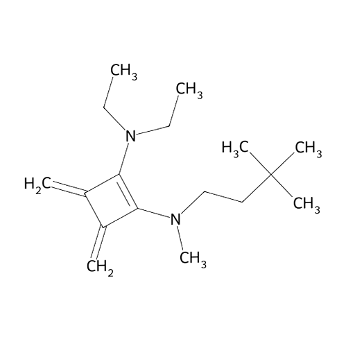 C=C1C(=C)C(N(CC)CC)=C1N(C)CCC(C)(C)C